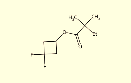 CCC(C)(C)C(=O)OC1CC(F)(F)C1